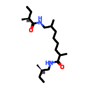 CC[C@H](C)CNC(=O)C(C)CCCCC(C)CNC(=O)[C@@H](C)CC